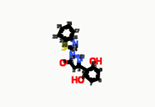 O=C1CC(c2c(O)cccc2O)=NN1c1nc2ccccc2s1